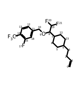 C=CCCC1CCC(C(OCc2ccc(C(F)(F)F)c(F)c2)C(F)F)CC1